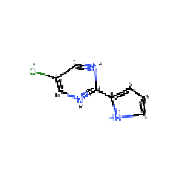 Clc1cnc(-c2ccc[nH]2)nc1